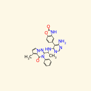 Cc1ccn2nc(C(C)Nc3ncnc(N)c3-c3ccc4oc(=O)[nH]c4c3)n(-c3ccccc3)c(=O)c12